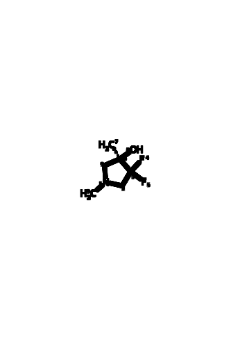 CN1CC(F)(F)[C@](C)(O)C1